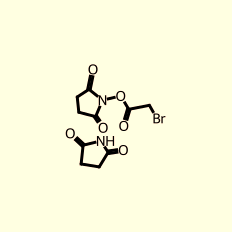 O=C(CBr)ON1C(=O)CCC1=O.O=C1CCC(=O)N1